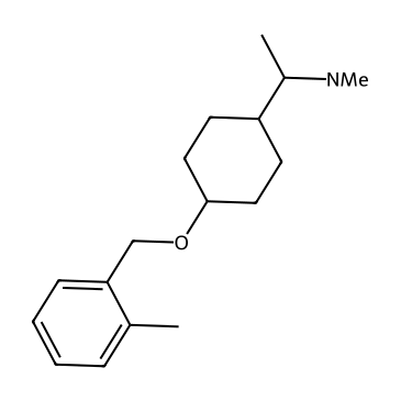 CNC(C)C1CCC(OCc2ccccc2C)CC1